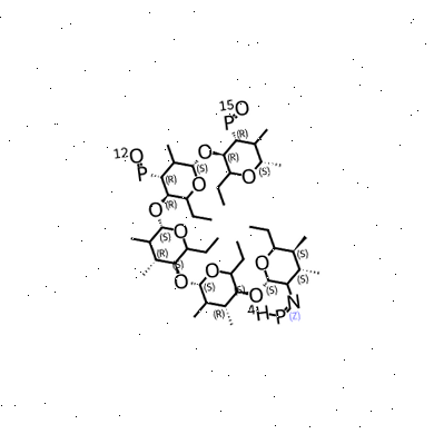 [4H]/P=N\C1[C@H](O[C@@H]2C(CC)O[C@@H](O[C@@H]3C(CC)O[C@@H](O[C@@H]4C(CC)O[C@@H](O[C@@H]5C(CC)O[C@@H](C)C(C)[C@H]5P=[15O])C(C)[C@H]4P=[12O])C(C)[C@H]3C)C(C)[C@H]2C)OC(CC)[C@@H](C)[C@@H]1C